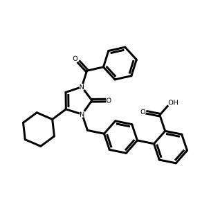 O=C(O)c1ccccc1-c1ccc(Cn2c(C3CCCCC3)cn(C(=O)c3ccccc3)c2=O)cc1